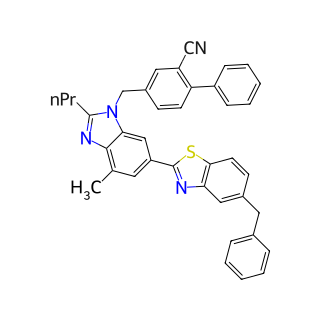 CCCc1nc2c(C)cc(-c3nc4cc(Cc5ccccc5)ccc4s3)cc2n1Cc1ccc(-c2ccccc2)c(C#N)c1